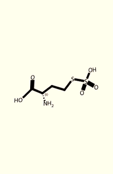 N[C@@H](CCSS(=O)(=O)O)C(=O)O